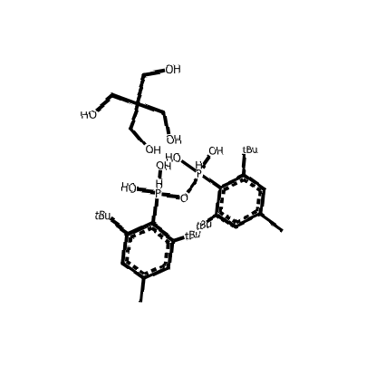 Cc1cc(C(C)(C)C)c([PH](O)(O)O[PH](O)(O)c2c(C(C)(C)C)cc(C)cc2C(C)(C)C)c(C(C)(C)C)c1.OCC(CO)(CO)CO